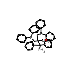 CC(CP(c1ccccc1)c1ccccc1)(CP(c1ccccc1)c1ccccc1)C(P)(c1ccccc1)c1ccccc1